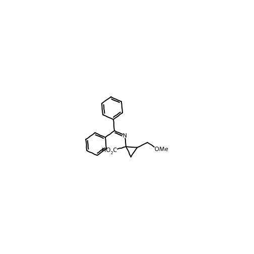 COCC1CC1(N=C(c1ccccc1)c1ccccc1)C(=O)O